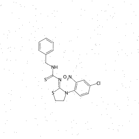 O=[N+]([O-])c1cc(Cl)ccc1N1CCS/C1=N\C(=S)NCc1ccccc1